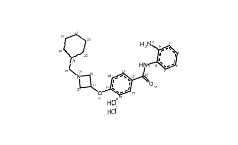 Cl.Cl.Nc1ccccc1NC(=O)c1ccc(OC2CN(CC3CCCCC3)C2)cc1